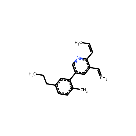 C=Cc1cc(-c2cc(CCC)ccc2C)cnc1/C=C\C